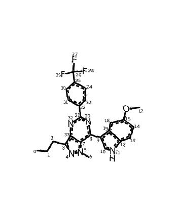 CCCc1nn(C)c2c(-c3c[nH]c4ccc(OC)cc34)nc(-c3ccc(C(F)(F)F)cc3)nc12